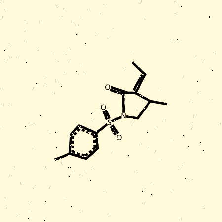 C/C=C1\C(=O)N(S(=O)(=O)c2ccc(C)cc2)CC1C